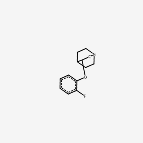 Fc1ccccc1OC1CN2CCC1CC2